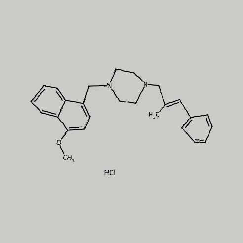 COc1ccc(CN2CCN(C/C(C)=C/c3ccccc3)CC2)c2ccccc12.Cl